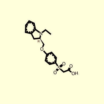 CCN1c2ccccc2C[C@@H]1COc1ccc(S(=O)(=O)CC(=O)O)cc1